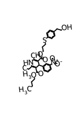 CCCCOC(=O)C1=C(CC)NC(C)=C(C(=O)OCCCSc2ccc(CCO)cc2)C1c1cccc([N+](=O)[O-])c1